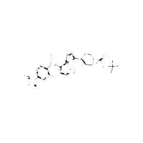 CC(C)(C)OC(=O)N1CC=C(c2cnc3c(Nc4ccc(S(C)(=O)=O)cc4F)ccnn23)CC1